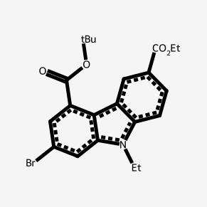 CCOC(=O)c1ccc2c(c1)c1c(C(=O)OC(C)(C)C)cc(Br)cc1n2CC